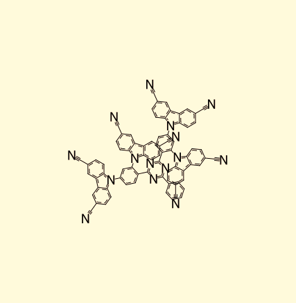 N#Cc1ccc2c(c1)c1cc(C#N)ccc1n2-c1ccc(-c2nc(-c3ccccc3)nc(-c3ccc(-n4c5ccc(C#N)cc5c5cc(C#N)ccc54)cc3-n3c4ccc(C#N)cc4c4cc(C#N)ccc43)n2)c(-n2c3ccc(C#N)cc3c3cc(C#N)ccc32)c1